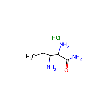 CCC(N)C(N)C(N)=O.Cl